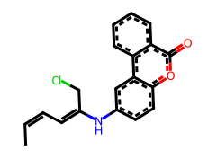 C/C=C\C=C(/CCl)Nc1ccc2oc(=O)c3ccccc3c2c1